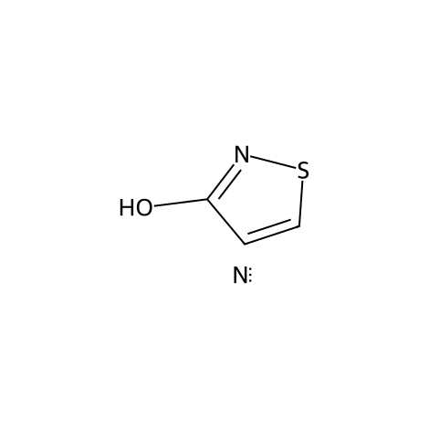 Oc1ccsn1.[N]